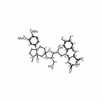 COc1ccc([C@]23CCN(C)[C@H]2CC2(CC3)O[C@@H]([C@@H](O)Cn3c4nc(=O)[nH]c(=O)c-4nc4cc(C)c(C)cc43)[C@@H](CO)O2)cc1OC